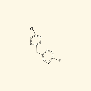 Fc1ccc(Cc2ccc(Cl)cc2)cc1